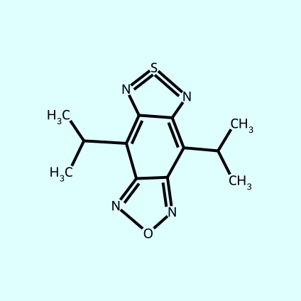 CC(C)c1c2c(c(C(C)C)c3nonc13)N=S=N2